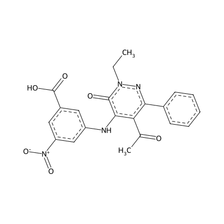 CCn1nc(-c2ccccc2)c(C(C)=O)c(Nc2cc(C(=O)O)cc([N+](=O)[O-])c2)c1=O